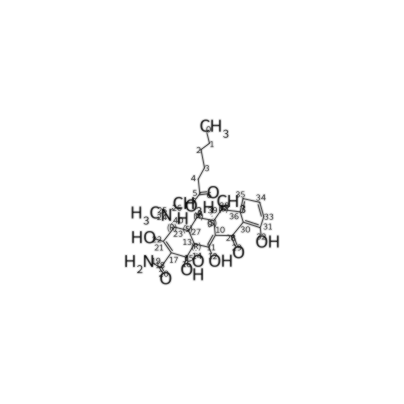 CCCCCC(=O)O[C@@H]1[C@@H]2C(=C(O)[C@@]3(O)C(=O)C(C(N)=O)=C(O)[C@H](N(C)C)[C@@H]13)C(=O)c1c(O)cccc1[C@H]2C